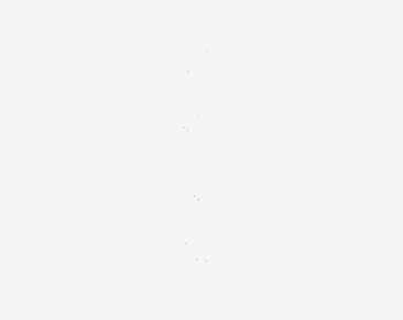 CN(C(=O)OC(C)(C)C)C1CCN(c2ccc(NC(=O)c3ccc(-c4ccccc4F)o3)cc2)C1